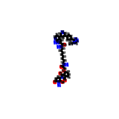 CC(C)n1cnnc1-c1ccc(-c2cncc(-c3ccnc4[nH]c(C(=O)NCCCCCCCCNC(=O)COc5cccc6c5C(=O)N(C5CCC(=O)NC5=O)C6=O)cc34)c2)cc1